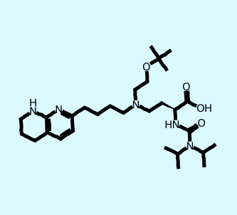 CC(C)N(C(=O)N[C@@H](CCN(CCCCc1ccc2c(n1)NCCC2)CCOC(C)(C)C)C(=O)O)C(C)C